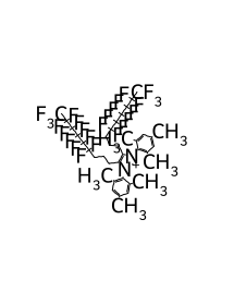 Cc1cc(C)c(-n2c[n+](-c3c(C)cc(C)cc3C)c(CCCC(F)(F)C(F)(F)C(F)(F)C(F)(F)C(F)(F)C(F)(F)F)c2CCCC(F)(F)C(F)(F)C(F)(F)C(F)(F)C(F)(F)C(F)(F)F)c(C)c1